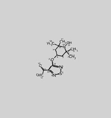 CC1(C)CC(Oc2nsnc2C(=O)C=O)CC(C)(C)N1O